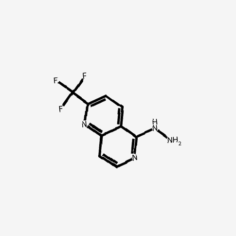 NNc1nccc2nc(C(F)(F)F)ccc12